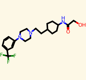 O=C(CO)NC1CCC(CCN2CCN(c3cccc(C(F)(F)F)c3)CC2)CC1